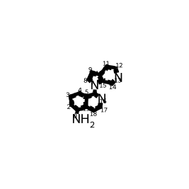 Nc1cccc2c(-n3ccc4ccncc43)nccc12